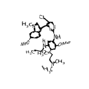 C=CC(=O)Nc1cc(Nc2ncc(Cl)c(-c3cn(C)c4cc(OC)ccc34)n2)c(OC)cc1N(C)CCN(C)C